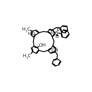 Cc1cc2c(O)c(c1)Cc1cc(Cc3ccccc3)cc(c1O)Cc1cc(Cc3ccccc3)cc(c1OS(=O)(=O)c1ccccc1)Cc1cc(C)cc(c1O)C2